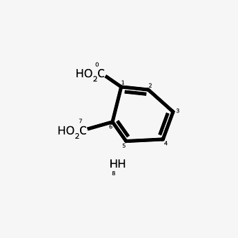 O=C(O)c1ccccc1C(=O)O.[HH]